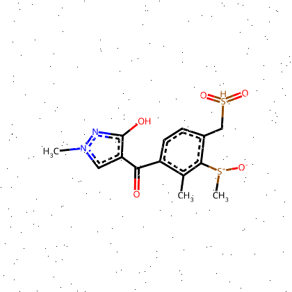 Cc1c(C(=O)c2cn(C)nc2O)ccc(C[SH](=O)=O)c1[S+](C)[O-]